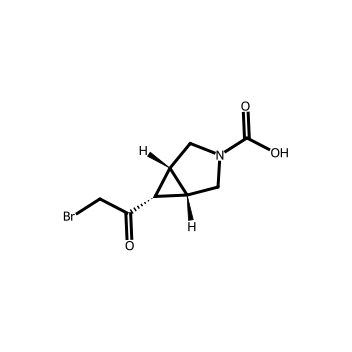 O=C(CBr)[C@@H]1[C@@H]2CN(C(=O)O)C[C@@H]21